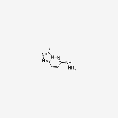 Cc1nnc2ccc(NN)nn12